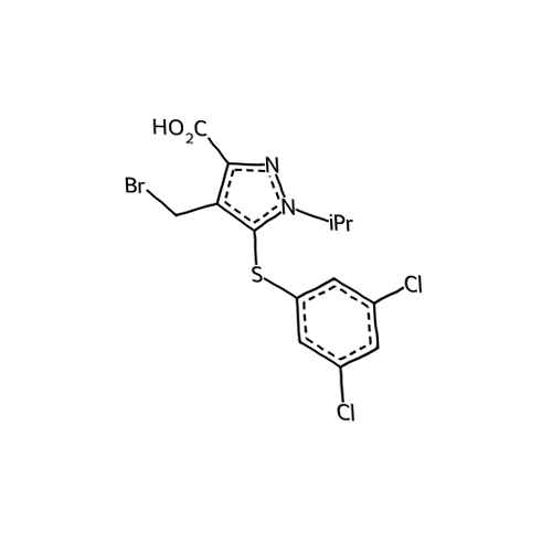 CC(C)n1nc(C(=O)O)c(CBr)c1Sc1cc(Cl)cc(Cl)c1